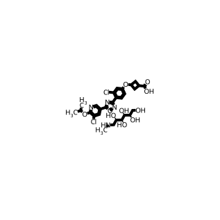 CC(C)Oc1ncc(-c2nc(-c3ccc(OC4CC(C(=O)O)C4)cc3Cl)no2)cc1Cl.CNC[C@H](O)[C@@H](O)[C@H](O)[C@H](O)CO